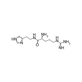 N=C(N)NCCC[C@H](N)C(=O)NCCc1c[nH]cn1